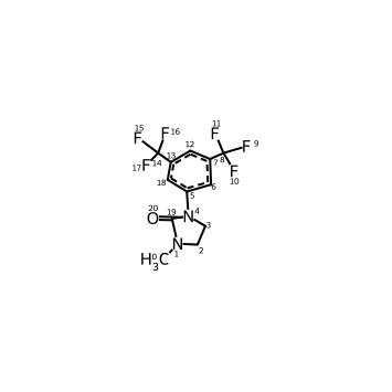 CN1CCN(c2cc(C(F)(F)F)cc(C(F)(F)F)c2)C1=O